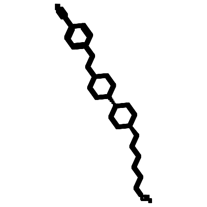 CCCCCCC[C@H]1CC[C@H](C2CCC(CCc3ccc(C#N)cc3)CC2)CC1